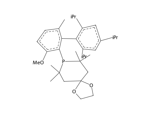 COc1ccc(C)c(-c2c(C(C)C)cc(C(C)C)cc2C(C)C)c1P1C(C)(C)CC2(CC1(C)C)OCCO2